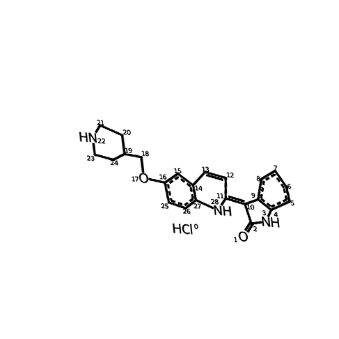 Cl.O=C1Nc2ccccc2C1=C1C=Cc2cc(OCC3CCNCC3)ccc2N1